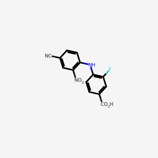 N#Cc1ccc(Nc2ccc(C(=O)O)cc2F)c([N+](=O)[O-])c1